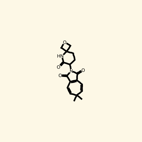 CC1(C)C=CC2=C(C=C1)C(=O)N(C1CCC3(COC3)NC1=O)C2=O